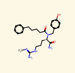 NC(=O)[C@@H](CCCNC(N)=N[N+](=O)[O-])N(Cc1ccc(O)cc1)C(=O)CCCCc1ccccc1